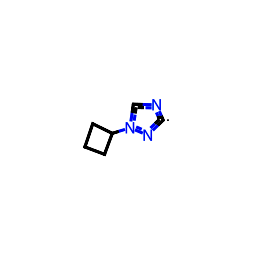 [c]1ncn(C2CCC2)n1